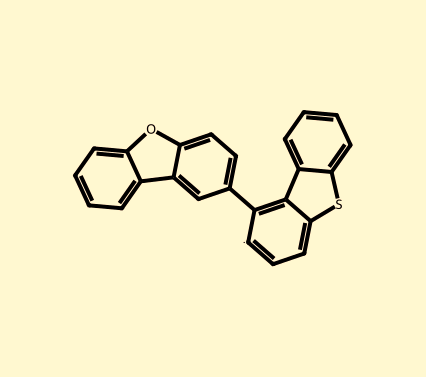 [c]1ccc2sc3ccccc3c2c1-c1ccc2oc3ccccc3c2c1